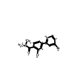 CN(C)C(=O)c1ccc(-c2cc(Br)ccn2)cc1Cl